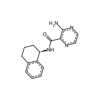 Nc1nccnc1C(=O)N[C@@H]1CCCc2ccccc21